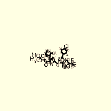 CC(C)(O)CNC(=O)c1nc(Cn2nc(-c3ccc(Cl)cc3)n(CC(O)C(F)(F)F)c2=O)nn1-c1cccnc1Cl